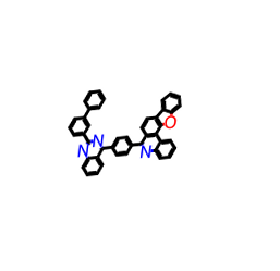 c1ccc(-c2cccc(-c3nc(-c4ccc(-c5nc6ccccc6c6c5ccc5c7ccccc7oc56)cc4)c4ccccc4n3)c2)cc1